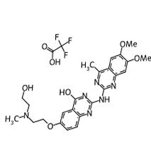 COc1cc2nc(Nc3nc(O)c4cc(OCCN(C)CCO)ccc4n3)nc(C)c2cc1OC.O=C(O)C(F)(F)F